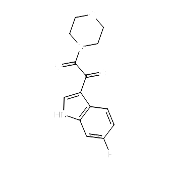 O=C(C(=O)N1CCOCC1)c1c[nH]c2cc(F)ccc12